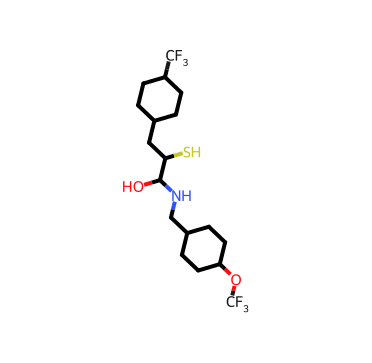 OC(NCC1CCC(OC(F)(F)F)CC1)C(S)CC1CCC(C(F)(F)F)CC1